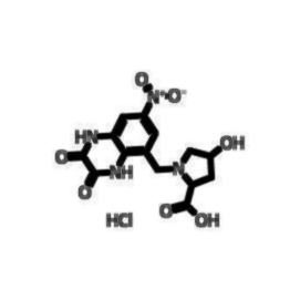 Cl.O=C(O)C1CC(O)CN1Cc1cc([N+](=O)[O-])cc2[nH]c(=O)c(=O)[nH]c12